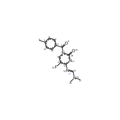 Cc1ccc(C(=O)n2cc(F)c(/N=C/N(C)C)nc2=O)cc1